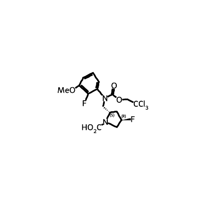 COc1cccc(N(C[C@@H]2C[C@@H](F)CN2C(=O)O)C(=O)OCC(Cl)(Cl)Cl)c1F